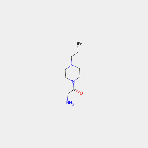 CC(C)CCN1CCN(C(=O)CN)CC1